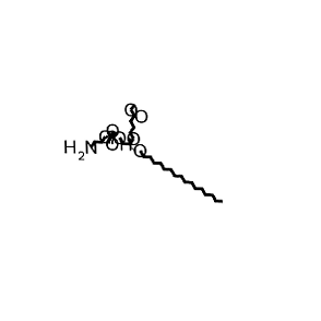 CCCCCCCCCCCCCCCCOC[C@H](CO[P@](=O)(O)OCCN)OCCCC(=O)OC